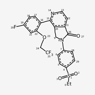 CCS(=O)(=O)c1ccc(N2Cc3c(ccnc3-c3ccc(F)cc3OCC(F)(F)F)C2=O)cc1